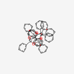 c1ccc([Si](O[Si](O[Si](c2ccccc2)(c2ccccc2)c2ccccc2)(c2ccccc2)c2ccccc2)O[Si](O[Si](c2ccccc2)(c2ccccc2)c2ccccc2)(c2ccccc2)c2ccccc2)cc1